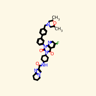 CC1CN(Cc2ccc(-c3cccc(-n4c(=O)n(C5CCC(NC(=O)c6cn7c(n6)CCCC7)CC5)c(=O)c5cc(F)cnc54)c3)cc2)C[C@H](C)O1